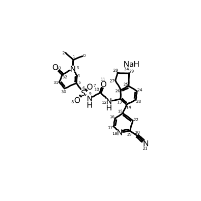 CC(C)n1cc(S(=O)(=O)NC(=O)Nc2c(-c3ccnc(C#N)c3)ccc3c2CCC3)ccc1=O.[NaH]